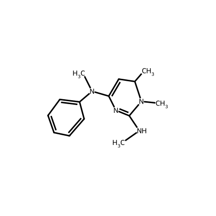 CNC1=NC(N(C)c2ccccc2)=CC(C)N1C